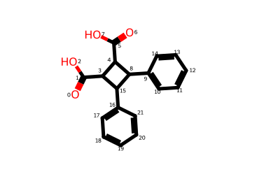 O=C(O)C1C(C(=O)O)C(c2ccccc2)C1c1ccccc1